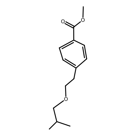 COC(=O)c1ccc(CCOCC(C)C)cc1